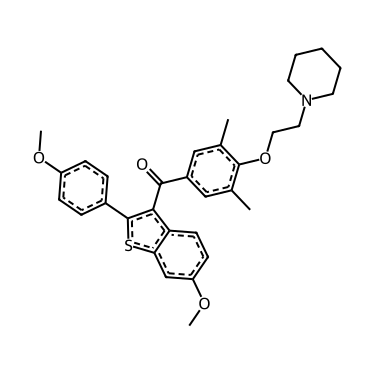 COc1ccc(-c2sc3cc(OC)ccc3c2C(=O)c2cc(C)c(OCCN3CCCCC3)c(C)c2)cc1